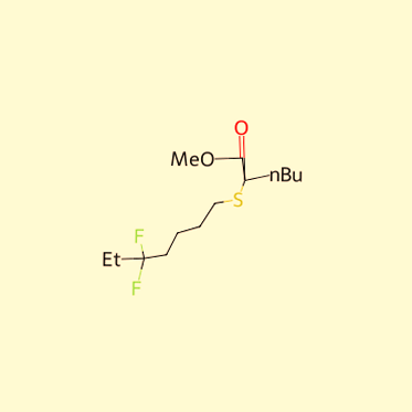 CCCCC(SCCCCC(F)(F)CC)C(=O)OC